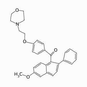 COc1ccc2c(C(=O)c3ccc(OCCN4CCOCC4)cc3)c(-c3ccccc3)ccc2c1